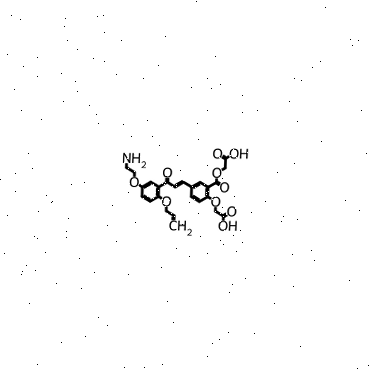 C=CCOc1ccc(OCCN)cc1C(=O)C=Cc1ccc(OCC(=O)O)c(C(=O)OCC(=O)O)c1